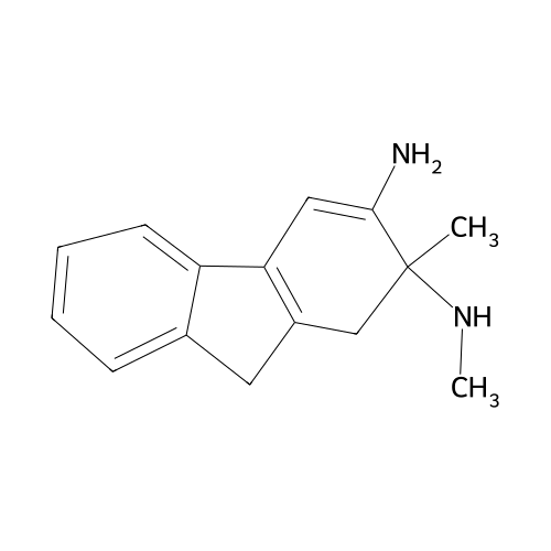 CNC1(C)CC2=C(C=C1N)c1ccccc1C2